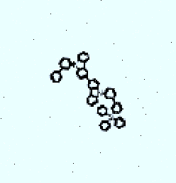 C1=CCC([Si](c2ccccc2)(c2ccccc2)c2cccc(-c3cccc(N4c5ccc(-c6ccc7c(c6)c6ccccc6n7-c6cccc(-c7ccccc7)c6)cc5C5C=CC=CC54)c3)c2)C=C1